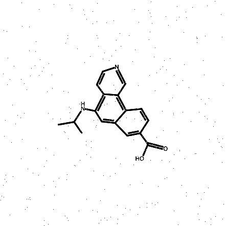 CC(C)Nc1cc2cc(C(=O)O)ccc2c2cnccc12